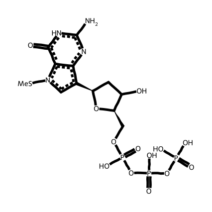 CSn1cc([C@H]2CC(O)[C@@H](COP(=O)(O)OP(=O)(O)OP(=O)(O)O)O2)c2nc(N)[nH]c(=O)c21